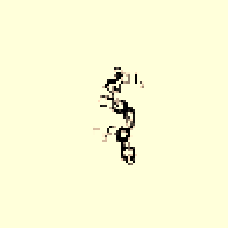 CC(=O)c1ccn(C(=O)N2CCC3(CCN(Cc4cc(C)cc(N5CCOCC5)c4)C3)CC2)n1